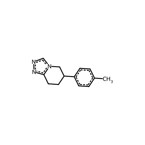 Cc1ccc(C2CCc3nncn3C2)cc1